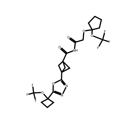 O=C(COC1(OC(F)(F)F)CCCC1)NC(=O)C12CC(c3nnc(C4(OC(F)(F)F)CCC4)o3)(C1)C2